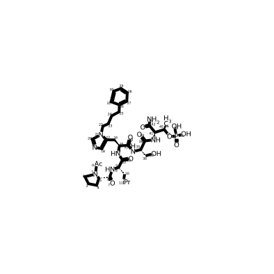 CC(=O)N1CCC[C@H]1C(=O)N[C@@H](CC(C)C)C(=O)N[C@@H](Cc1cncn1CCCCc1ccccc1)C(=O)N[C@@H](CO)C(=O)N[C@H](C(N)=O)[C@@H](C)OP(=O)(O)O